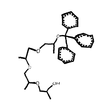 CC(O)COC(C)COC(C)COCC(C)OC(c1ccccc1)(c1ccccc1)c1ccccc1